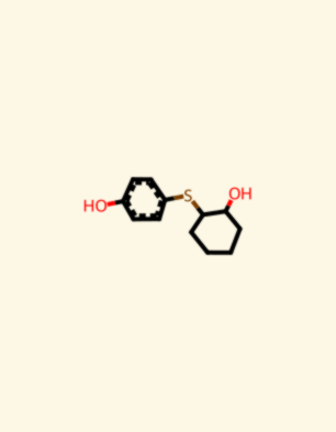 Oc1ccc(SC2CCCCC2O)cc1